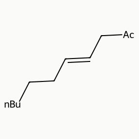 CCCCCCC=CCC(C)=O